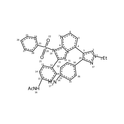 CCn1cc(-c2ccnc3c2cc(-c2ccc(NC(C)=O)cc2)n3S(=O)(=O)c2ccccc2)c(-c2ccc(N)cc2)n1